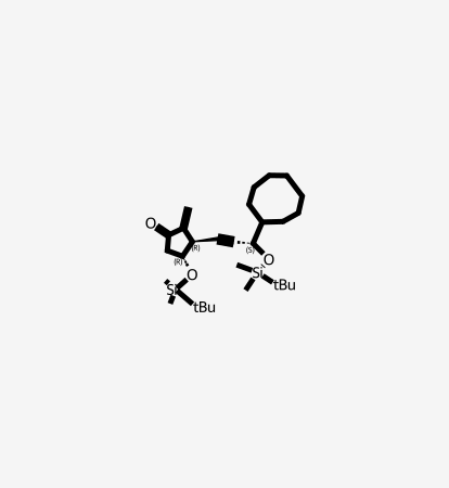 C=C1C(=O)C[C@@H](O[Si](C)(C)C(C)(C)C)[C@@H]1C#C[C@@H](O[Si](C)(C)C(C)(C)C)C1CCCCCCC1